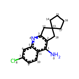 Nc1c2c(nc3cc(Cl)ccc13)CC1(CCCC1)C2